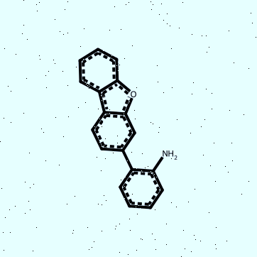 Nc1ccccc1-c1ccc2c(c1)oc1ccccc12